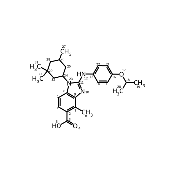 Cc1c(C(=O)O)ccc2c1nc(Nc1ccc(OC(C)C)cc1)n2C1CC(C)CC(C)(C)C1